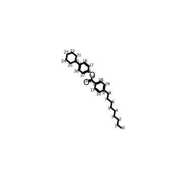 CCCCCCCCCc1ccc(C(=O)Oc2ccc(C3CCCCC3)cc2)cc1